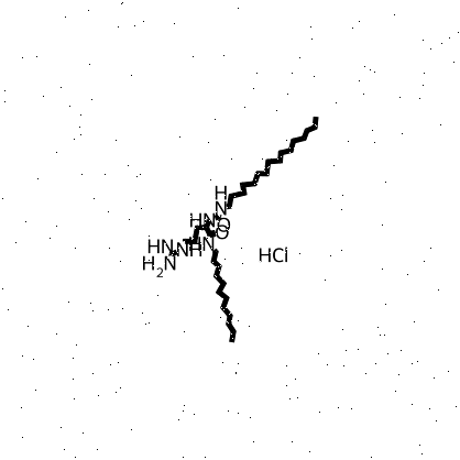 CCCCCCCCCCCCCCCCNC(=O)NC(CCCNC(=N)N)C(=O)NCCCCCCCCCCCC.Cl